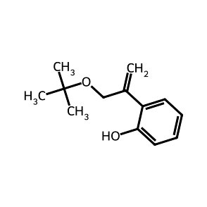 C=C(COC(C)(C)C)c1ccccc1O